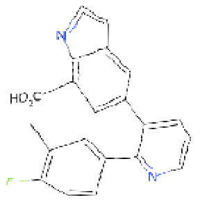 Cc1cc(-c2ncccc2-c2cc3c(c(C(=O)O)c2)N=C=C3)ccc1F